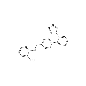 O=C(O)c1cncnc1NCc1ccc(-c2ccccc2C2N=NN=N2)cc1